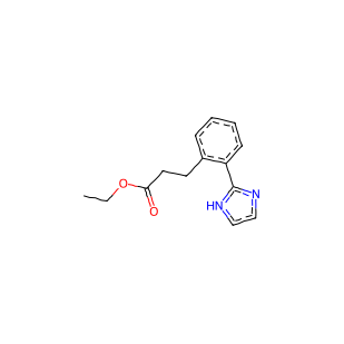 CCOC(=O)CCc1ccccc1-c1ncc[nH]1